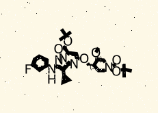 CO[C@@H]1CN(C(=O)OC(C)(C)C)CC[C@H]1COc1cc(C(=O)OC(C)(C)C)n2nc(Nc3cccc(F)c3)c(C3CC3)c2n1